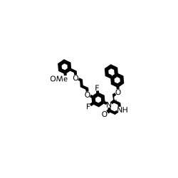 COc1ccccc1COCCCOc1c(F)cc(N2C(=O)CNC[C@@H]2COc2ccc3ccccc3c2)cc1F